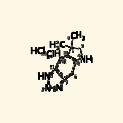 CC1(C)CNc2cc3nn[nH]c3cc21.Cl.Cl